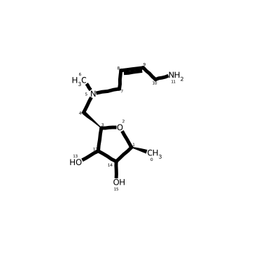 C[C@@H]1O[C@H](CN(C)C/C=C\CN)C(O)C1O